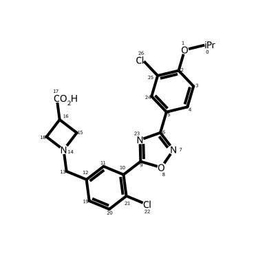 CC(C)Oc1ccc(-c2noc(-c3cc(CN4CC(C(=O)O)C4)ccc3Cl)n2)cc1Cl